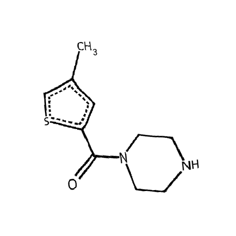 Cc1csc(C(=O)N2CCNCC2)c1